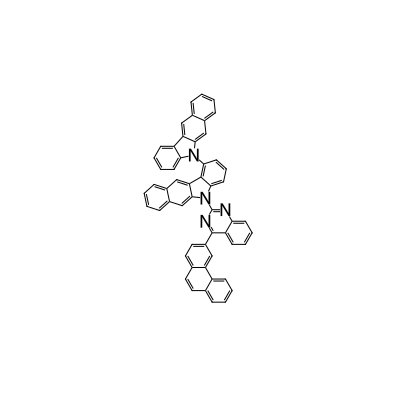 c1ccc2cc3c(cc2c1)c1ccccc1n3-c1cccc2c1c1cc3ccccc3cc1n2-c1nc(-c2ccc3ccc4ccccc4c3c2)c2ccccc2n1